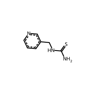 NC(=S)NCc1cccnc1